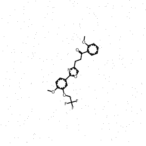 COc1ccc(-c2nc(CCC(=O)c3ccccc3OC)co2)cc1OCC(F)(F)F